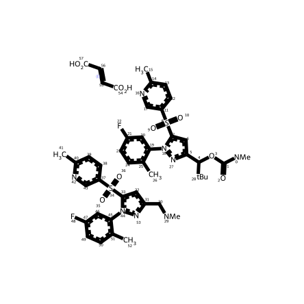 CNC(=O)OC(c1cc(S(=O)(=O)c2ccc(C)nc2)n(-c2cc(F)ccc2C)n1)C(C)(C)C.CNCc1cc(S(=O)(=O)c2ccc(C)nc2)n(-c2cc(F)ccc2C)n1.O=C(O)/C=C/C(=O)O